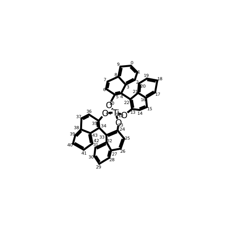 c1ccc2c3c(ccc2c1)[O][Ti]1([O]c2ccc4ccccc4c2-3)[O]c2ccc3ccccc3c2-c2c(ccc3ccccc23)[O]1